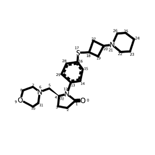 O=C1CC[C@@H](CN2CCOCC2)N1c1ccc(SC2CC(N3CCCCC3)C2)cc1